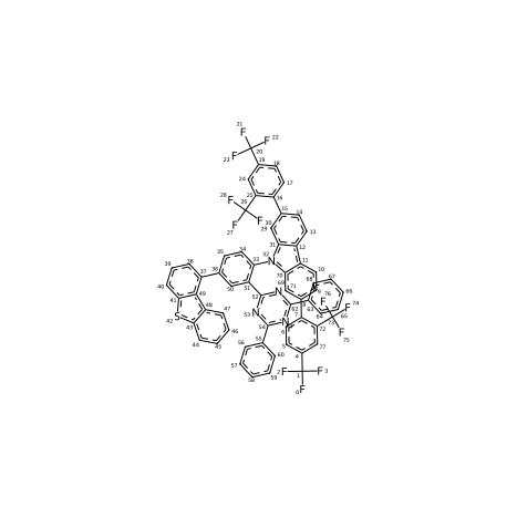 FC(F)(F)c1ccc(-c2ccc3c4ccc(-c5ccc(C(F)(F)F)cc5C(F)(F)F)cc4n(-c4ccc(-c5cccc6sc7ccccc7c56)cc4-c4nc(-c5ccccc5)nc(-c5ccccc5)n4)c3c2)c(C(F)(F)F)c1